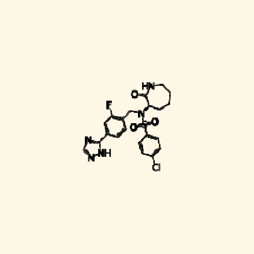 O=C1NCCCC[C@H]1N(Cc1ccc(-c2ncn[nH]2)cc1F)S(=O)(=O)c1ccc(Cl)cc1